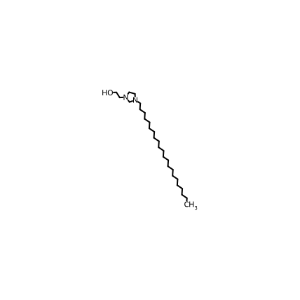 CCCCCCCCCCCCCCCCCCCCCCN1CCN(CCO)C1